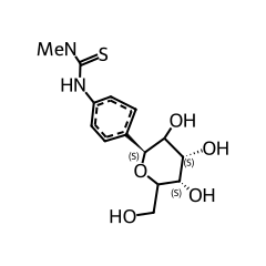 CNC(=S)Nc1ccc([C@@H]2OC(CO)[C@@H](O)[C@@H](O)C2O)cc1